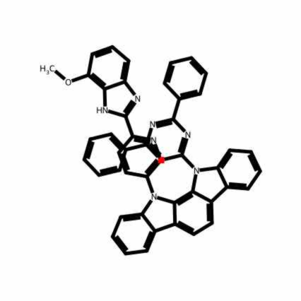 COc1cccc2nc(-c3ccc(-n4c5ccccc5c5ccc6c7ccccc7n(-c7nc(-c8ccccc8)nc(-c8ccccc8)n7)c6c54)cn3)[nH]c12